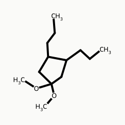 CCCC1CC(OC)(OC)CC1CCC